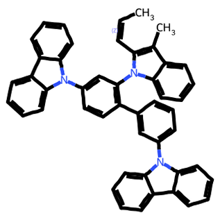 C/C=C\c1c(C)c2ccccc2n1-c1cc(-n2c3ccccc3c3ccccc32)ccc1-c1cccc(-n2c3ccccc3c3ccccc32)c1